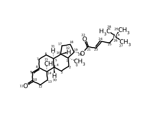 C[C@]12CC[C@H]3[C@@H](CCC4=CC(=O)CC[C@@]43C)[C@@H]1CC[C@@H]2OC(=O)/C=C/C[N+](C)(C)C